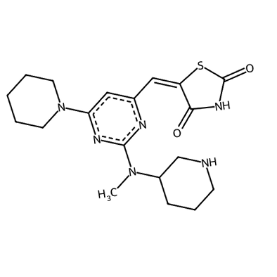 CN(c1nc(C=C2SC(=O)NC2=O)cc(N2CCCCC2)n1)C1CCCNC1